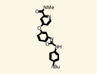 CCCCc1ccc(Nc2nc3cc(Oc4ccnc(C(=O)NC)c4)ccc3o2)cc1